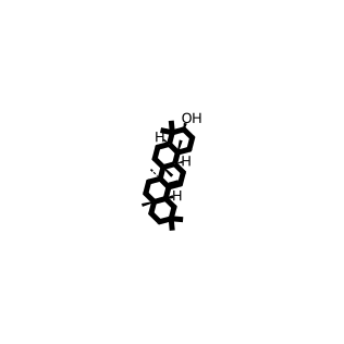 CC1(C)CC[C@]2(C)CC[C@]3(C)C(=CC[C@@H]4[C@@]5(C)CC[C@H](O)C(C)(C)[C@@H]5CC[C@]43C)[C@@H]2C1